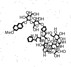 COc1ccc2cc(COC3C(OC4C(CO)OC(Oc5ccc(CC(NC(=O)C(N)C(C)c6ccccc6)C(=O)NC(C(=O)NC(C(=O)NC([C]=O)CO)C(O)C6CNC(=N)N6C6OC(CO)C(O)C(O)C6O)C(O)C6CNC(=N)N6)cc5)C(O)C4O)OC(CO)C(O)C3O)ccc2c1